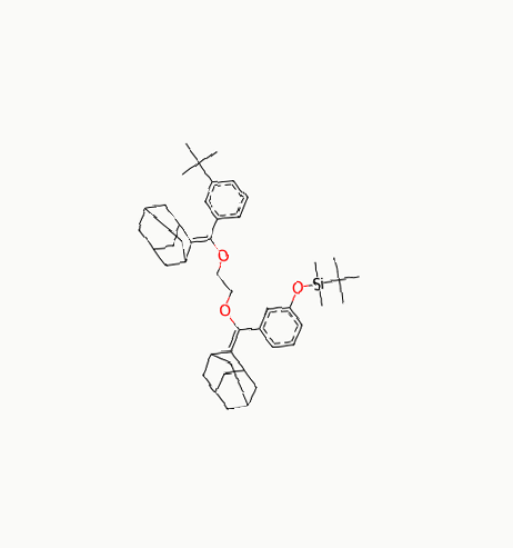 CC(C)(C)c1cccc(C(OCCOC(=C2C3CC4CC(C3)CC2C4)c2cccc(O[Si](C)(C)C(C)(C)C)c2)=C2C3CC4CC(C3)CC2C4)c1